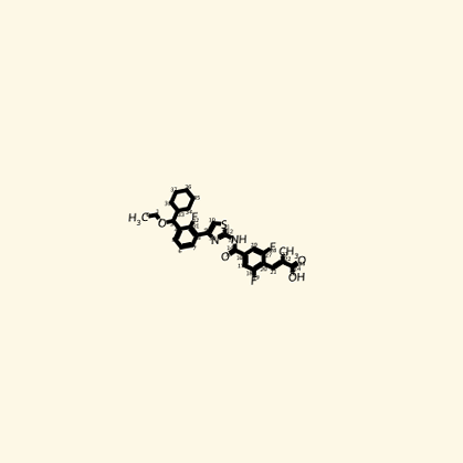 CCOC(c1cccc(-c2csc(NC(=O)c3cc(F)c(/C=C(\C)C(=O)O)c(F)c3)n2)c1F)C1CCCCC1